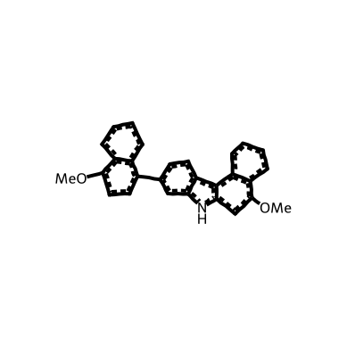 COc1ccc(-c2ccc3c(c2)[nH]c2cc(OC)c4ccccc4c23)c2ccccc12